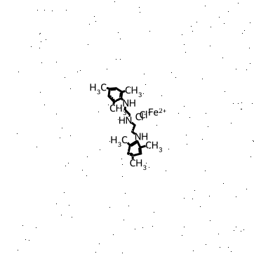 Cc1cc(C)c(NCCNCCNc2c(C)cc(C)cc2C)c(C)c1.[Cl-].[Cl-].[Fe+2]